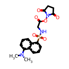 CN(C)c1cccc2c(S(=O)(=O)NCC(=O)ON3C(=O)CCC3=O)cccc12